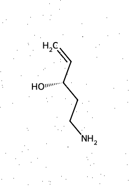 C=C[C@@H](O)CCN